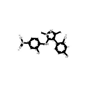 Cc1nn(C)c(Nc2ccc([N+](=O)[O-])cc2F)c1-c1ccc(F)cc1Cl